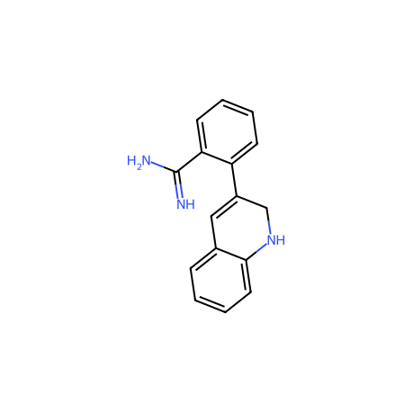 N=C(N)c1ccccc1C1=Cc2ccccc2NC1